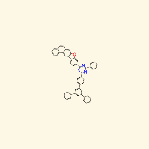 c1ccc(-c2cc(-c3ccccc3)cc(-c3ccc(-c4nc(-c5ccccc5)nc(-c5ccc6c(c5)oc5cc7ccc8ccccc8c7cc56)n4)cc3)c2)cc1